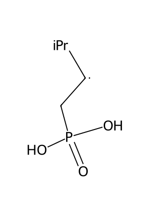 CC(C)[CH]CP(=O)(O)O